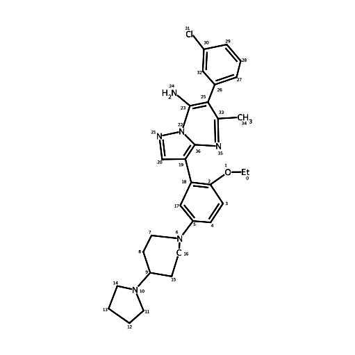 CCOc1ccc(N2CCC(N3CCCC3)CC2)cc1-c1cnn2c(N)c(-c3cccc(Cl)c3)c(C)nc12